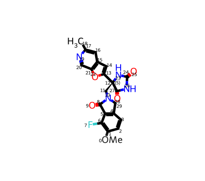 COc1ccc2c(c1F)C(=O)N(C[C@@]1(c3cc4cc(C)ncc4o3)NC(=O)NC1=O)C2